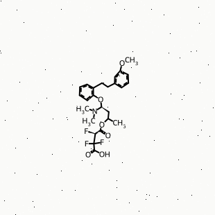 COc1cccc(CCc2ccccc2O[C@@H](CC(C)OC(=O)[C@H](F)C(F)(F)C(=O)O)N(C)C)c1